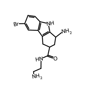 NCCNC(=O)C1Cc2c([nH]c3ccc(Br)cc23)C(N)C1